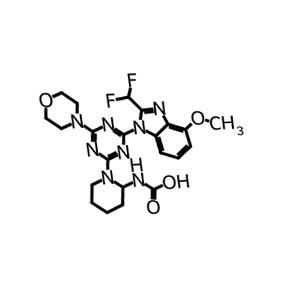 COc1cccc2c1nc(C(F)F)n2-c1nc(N2CCOCC2)nc(N2CCCCC2NC(=O)O)n1